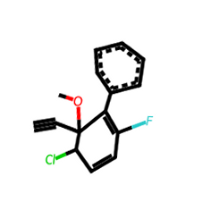 C#CC1(OC)C(c2ccccc2)=C(F)C=CC1Cl